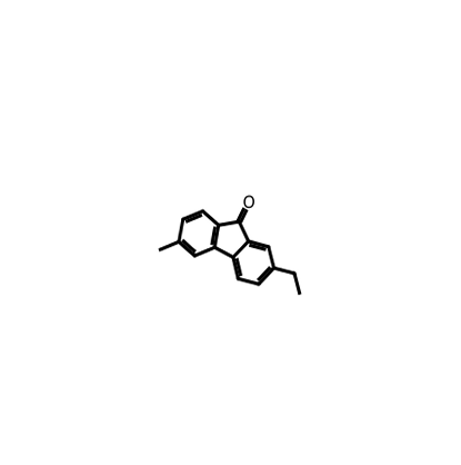 CCc1ccc2c(c1)C(=O)c1ccc(C)cc1-2